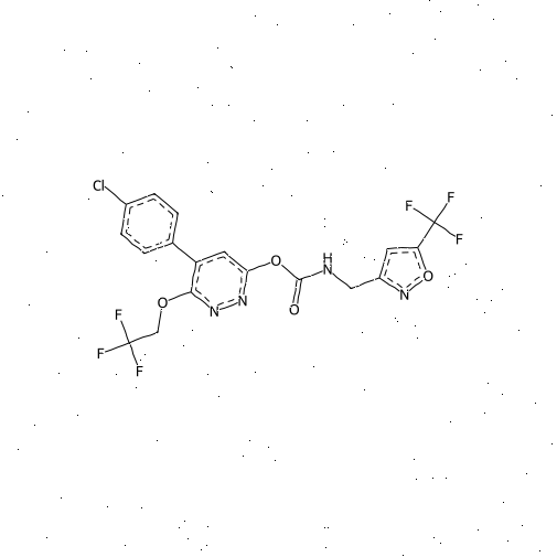 O=C(NCc1cc(C(F)(F)F)on1)Oc1cc(-c2ccc(Cl)cc2)c(OCC(F)(F)F)nn1